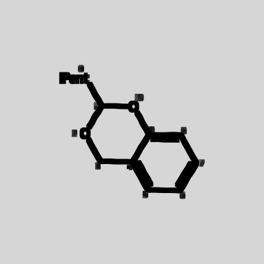 [CH2]CCC(C)C1OCc2ccccc2O1